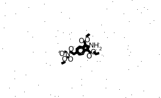 CCOC(=O)c1c2ccc(CC(=O)N(COC)C(=O)OCC)ccc-2c(C(=O)OCC)c1N